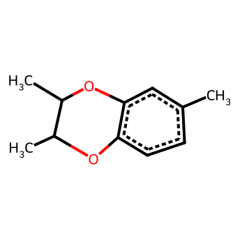 Cc1ccc2c(c1)OC(C)C(C)O2